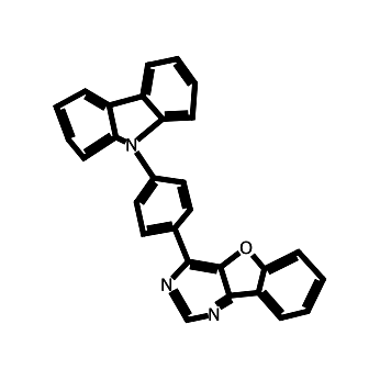 c1ccc2c(c1)oc1c(-c3ccc(-n4c5ccccc5c5ccccc54)cc3)ncnc12